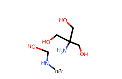 CCCNCO.NC(CO)(CO)CO